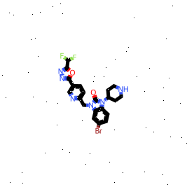 O=c1n(Cc2ccc(-c3nnc(C(F)F)o3)cn2)c2cc(Br)ccc2n1C1CCNCC1